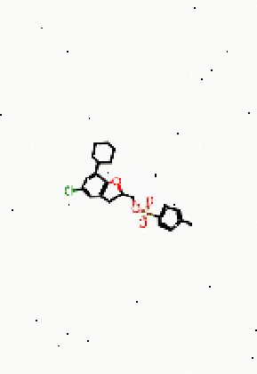 Cc1ccc(S(=O)(=O)OCC2Cc3cc(Cl)cc(C4CCCCC4)c3O2)cc1